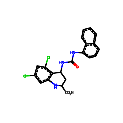 O=C(Nc1cccc2ccccc12)NC1CC(C(=O)O)Nc2cc(Cl)cc(Cl)c21